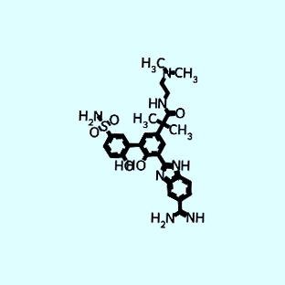 CN(C)CCNC(=O)C(C)(C)c1cc(-c2nc3cc(C(=N)N)ccc3[nH]2)c(O)c(-c2cc(S(N)(=O)=O)ccc2O)c1